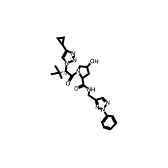 CC(C)(C)[C@@H](C(=O)N1CC(O)CC1C(=O)NCc1cnn(-c2ccccc2)n1)n1cc(C2CC2)nn1